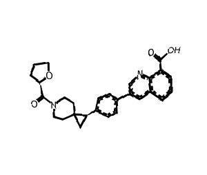 O=C(O)c1cccc2cc(-c3ccc([C@H]4CC45CCN(C(=O)[C@H]4CCCO4)CC5)cc3)cnc12